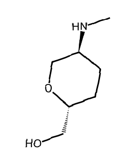 CN[C@H]1CC[C@H](CO)OC1